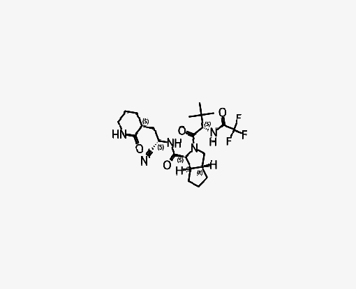 CC(C)(C)[C@H](NC(=O)C(F)(F)F)C(=O)N1C[C@@H]2CCC[C@@H]2[C@H]1C(=O)N[C@H](C#N)C[C@@H]1CCCNC1=O